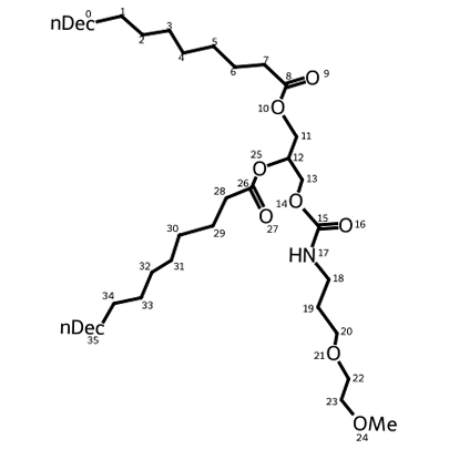 CCCCCCCCCCCCCCCCCC(=O)OCC(COC(=O)NCCCOCCOC)OC(=O)CCCCCCCCCCCCCCCCC